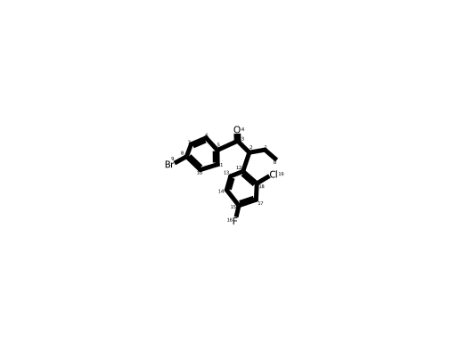 CCC(C(=O)c1ccc(Br)cc1)c1ccc(F)cc1Cl